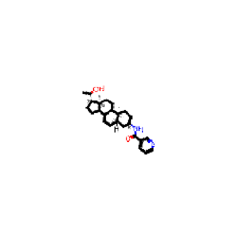 CC(O)[C@H]1CCC2C3CC[C@H]4C[C@H](NC(=O)c5cccnc5)CC[C@]4(C)C3CC[C@@]21C